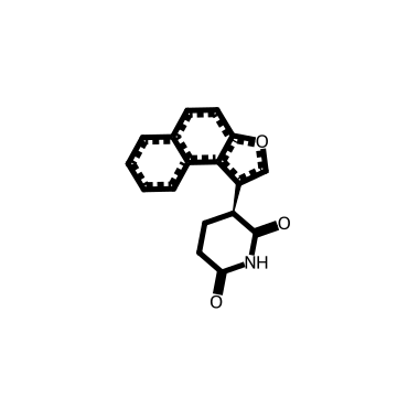 O=C1CC[C@@H](c2coc3ccc4ccccc4c23)C(=O)N1